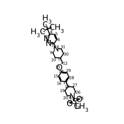 CC(C)(C)c1ccc(N2CCC(COc3ccc(C4CCN(S(C)(=O)=O)CC4)cc3)CC2)nn1